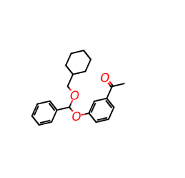 CC(=O)c1cccc(OC(OCC2CCCCC2)c2ccccc2)c1